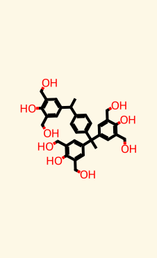 CC(c1ccc(C(C)(c2cc(CO)c(O)c(CO)c2)c2cc(CO)c(O)c(CO)c2)cc1)c1cc(CO)c(O)c(CO)c1